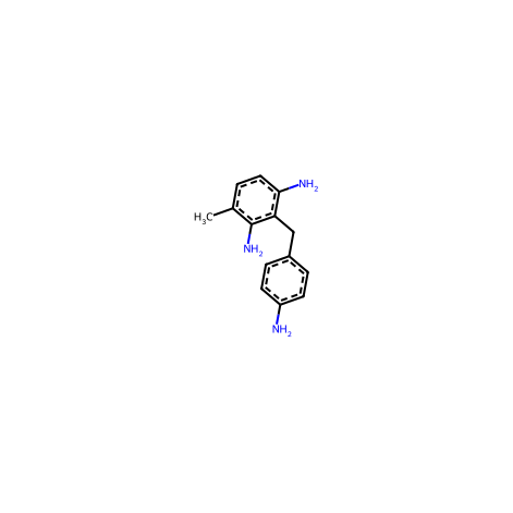 Cc1ccc(N)c(Cc2ccc(N)cc2)c1N